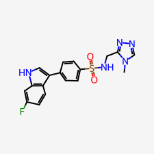 Cn1cnnc1CNS(=O)(=O)c1ccc(-c2c[nH]c3cc(F)ccc23)cc1